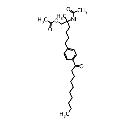 CCCCCCCCCC(=O)c1ccc(CCCCC(C)(COC(C)=O)NC(C)=O)cc1